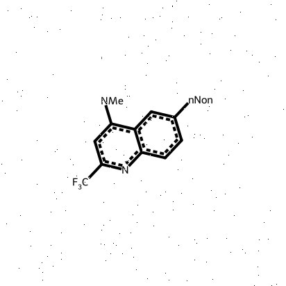 CCCCCCCCCc1ccc2nc(C(F)(F)F)cc(NC)c2c1